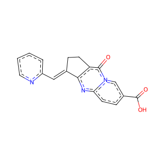 O=C(O)c1ccc2nc3c(c(=O)n2c1)CCC3=Cc1ccccn1